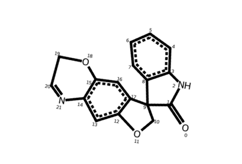 O=C1Nc2ccccc2C12COc1cc3c(cc12)OCC=N3